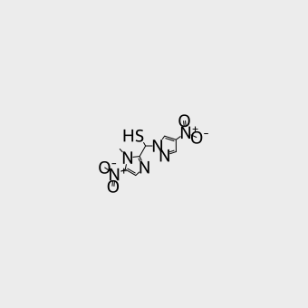 Cn1c([N+](=O)[O-])cnc1C(S)n1cc([N+](=O)[O-])cn1